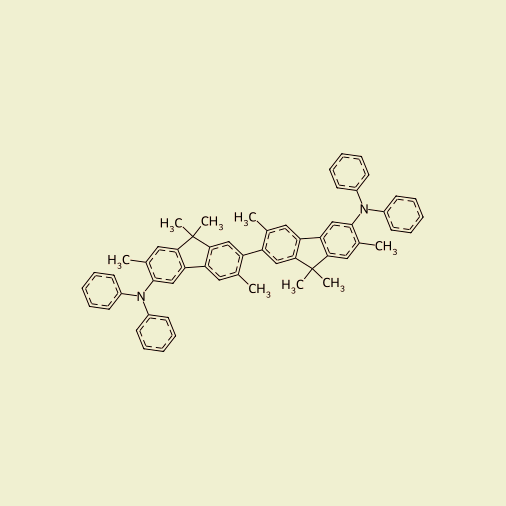 Cc1cc2c(cc1-c1cc3c(cc1C)-c1cc(N(c4ccccc4)c4ccccc4)c(C)cc1C3(C)C)C(C)(C)c1cc(C)c(N(c3ccccc3)c3ccccc3)cc1-2